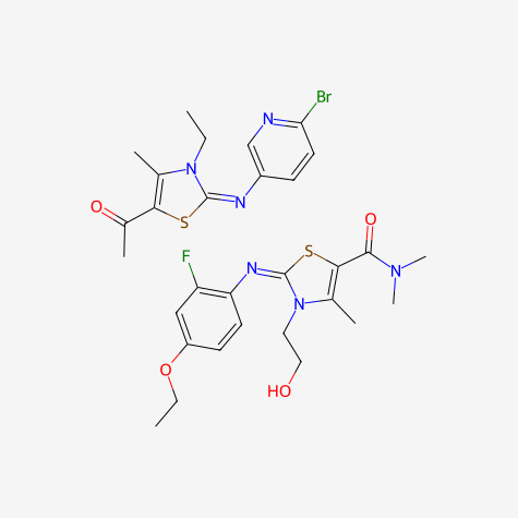 CCOc1ccc(N=c2sc(C(=O)N(C)C)c(C)n2CCO)c(F)c1.CCn1c(C)c(C(C)=O)sc1=Nc1ccc(Br)nc1